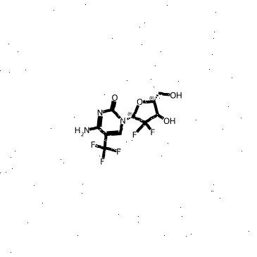 Nc1nc(=O)n([C@@H]2O[C@H](CO)C(O)C2(F)F)cc1C(F)(F)F